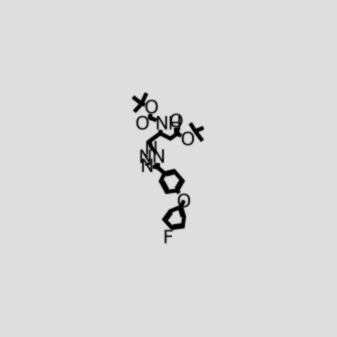 CC(C)(C)OC(=O)CC(Cn1nnc(-c2ccc(Oc3ccc(F)cc3)cc2)n1)NC(=O)OC(C)(C)C